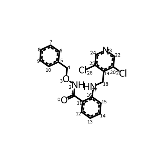 O=C(NOCc1ccccc1)c1ccccc1NCc1c(Cl)cncc1Cl